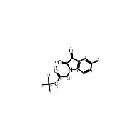 Cc1ccc2c(c1)C(=O)C(=O)N2CC(=O)OC(C)(C)C